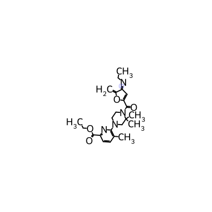 C=C1OC(C(=O)N2CCN(c3nc(C(=O)OCC)ccc3C)CC2(C)C)=C/C1=N/CC